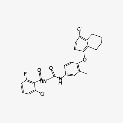 Cc1cc(NC(=O)NC(=O)c2c(F)cccc2Cl)ccc1Oc1ccc(Cl)c2c1CCCC2